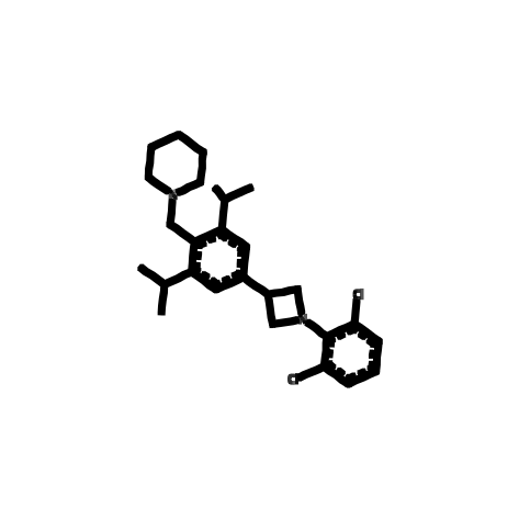 CC(C)c1cc(C2CN(c3c(Cl)cccc3Cl)C2)cc(C(C)C)c1CN1CCCCC1